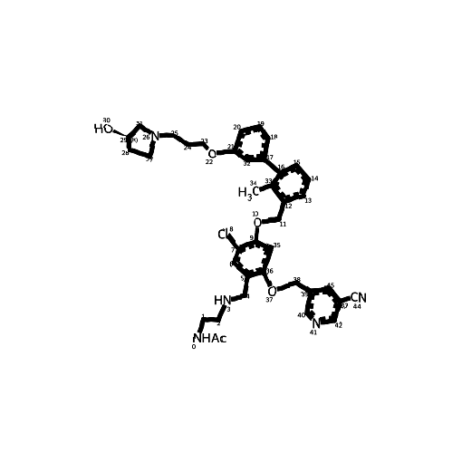 CC(=O)NCCNCc1cc(Cl)c(OCc2cccc(-c3cccc(OCCCN4CC[C@@H](O)C4)c3)c2C)cc1OCc1cncc(C#N)c1